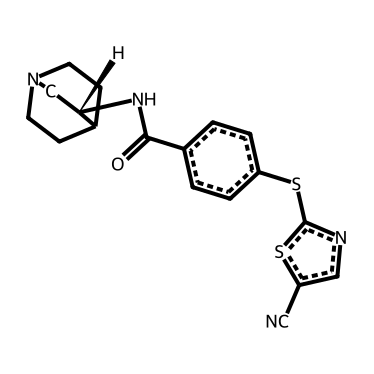 N#Cc1cnc(Sc2ccc(C(=O)N[C@H]3CN4CCC3CC4)cc2)s1